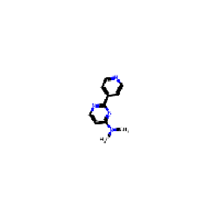 CN(C)c1ccnc(-c2ccncc2)n1